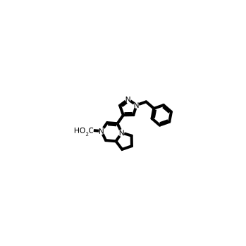 O=C(O)N1C=C(c2cnn(Cc3ccccc3)c2)N2CCCC2C1